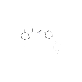 COc1ccc(OC)c(C(=O)/C=C/c2ccc(CN3CCN(C)CC3)cc2)c1